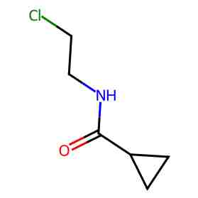 O=C(NCCCl)C1CC1